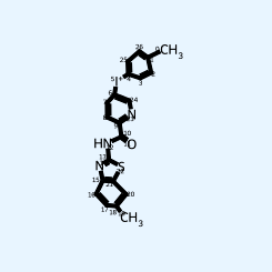 Cc1ccc([I+]c2ccc(C(=O)Nc3nc4ccc(C)cc4s3)nc2)cc1